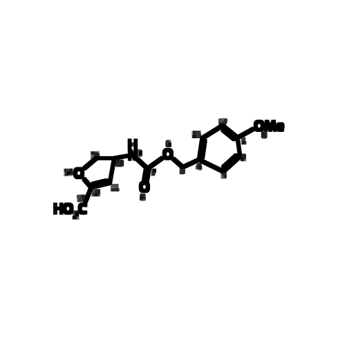 COc1ccc(COC(=O)NC2C=C(C(=O)O)OC2)cc1